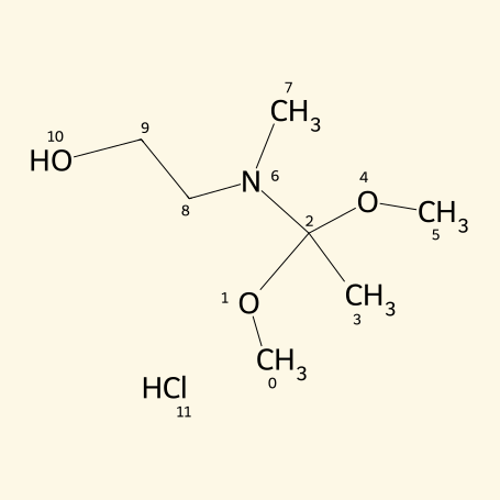 COC(C)(OC)N(C)CCO.Cl